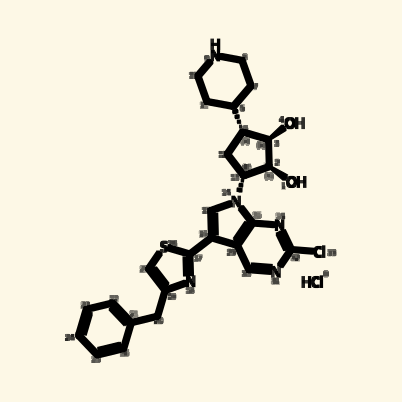 Cl.O[C@@H]1[C@H](O)[C@@H](C2CCNCC2)C[C@H]1n1cc(-c2nc(Cc3ccccc3)cs2)c2cnc(Cl)nc21